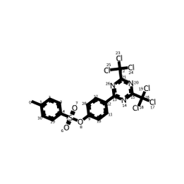 Cc1ccc(S(=O)(=O)Oc2ccc(-c3nc(C(Cl)(Cl)Cl)nc(C(Cl)(Cl)Cl)n3)cc2)cc1